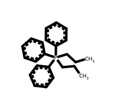 CCCP(CCC)(c1ccccc1)(c1ccccc1)c1ccccc1